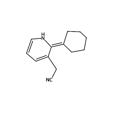 N#CCC1=CC=CNC1=C1CCCCC1